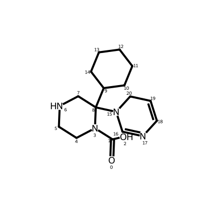 O=C(O)N1CCNCC1(C1CCCCC1)N1C=NC=CC1